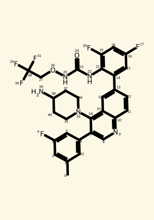 Cc1cc(F)cc(-c2cnc3ccc(-c4cc(F)cc(F)c4NC(=O)NOCC(F)(F)F)cc3c2N2CCC(N)CC2)c1